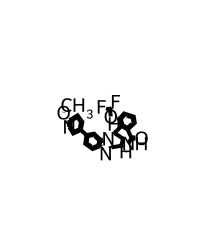 COc1ccc(-c2ccc3nc4n(c3c2)[C@@H]2C[C@H]4NC(=O)c3cccc(OC(F)F)c32)cn1